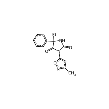 CCC1(c2ccccc2)NC(=O)N(c2cc(C)no2)C1=O